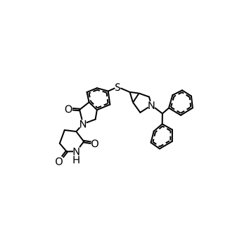 O=C1CCC(N2Cc3cc(SC4C5CN(C(c6ccccc6)c6ccccc6)CC54)ccc3C2=O)C(=O)N1